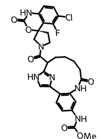 COC(=O)Nc1ccc2c(c1)NC(=O)CCCCC(C(=O)N1CC[C@@]3(C1)OC(=O)Nc1ccc(Cl)c(F)c13)c1nc-2c[nH]1